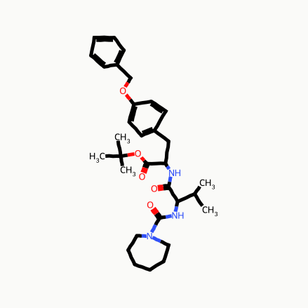 CC(C)C(NC(=O)N1CCCCCC1)C(=O)NC(Cc1ccc(OCc2ccccc2)cc1)C(=O)OC(C)(C)C